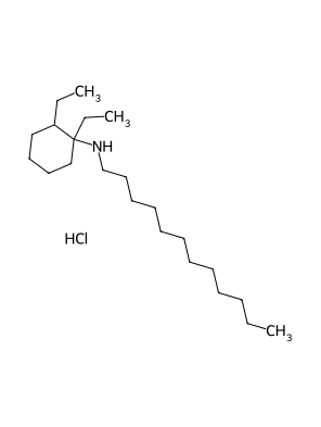 CCCCCCCCCCCCNC1(CC)CCCCC1CC.Cl